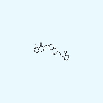 Cc1cccc(C)c1NC(=O)CN1CCN(CC(O)CCc2ccccc2Cl)CC1